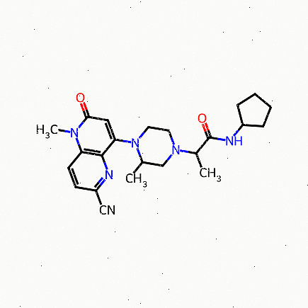 CC(C(=O)NC1CCCC1)N1CCN(c2cc(=O)n(C)c3ccc(C#N)nc23)C(C)C1